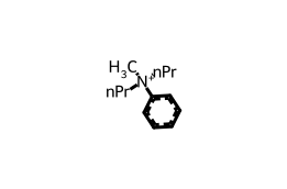 CCC[N+](C)(CCC)c1ccccc1